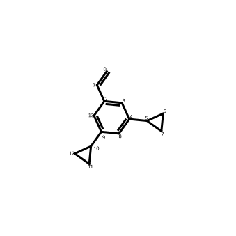 C=Cc1cc(C2CC2)cc(C2CC2)c1